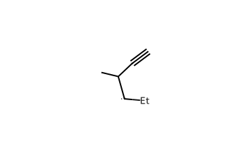 C#CC(C)[CH]CC